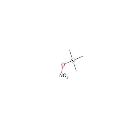 C[Si](C)(C)O[N+](=O)[O-]